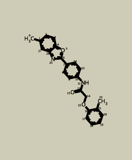 Cc1ccc2oc(-c3ccc(NC(=O)COc4ccccc4C)cc3)nc2c1